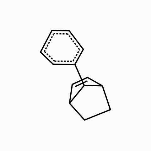 [CH]1CC2C=CC1C2c1ccccc1